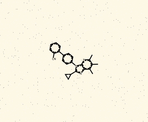 Cc1nc2c(nc(C3CC3)n2-c2ccc(-c3ccccc3C#N)cc2)c(C)c1C